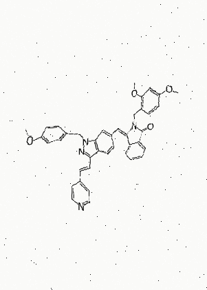 COc1ccc(Cn2nc(/C=C/c3ccncc3)c3ccc(/C=C4\c5ccccc5C(=O)N4Cc4ccc(OC)cc4OC)cc32)cc1